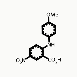 COc1ccc(Nc2ccc([N+](=O)[O-])cc2C(=O)O)cc1